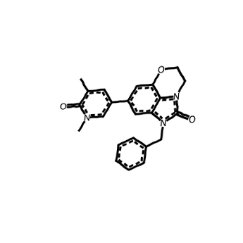 Cc1cc(-c2cc3c4c(c2)n(Cc2ccccc2)c(=O)n4CCO3)cn(C)c1=O